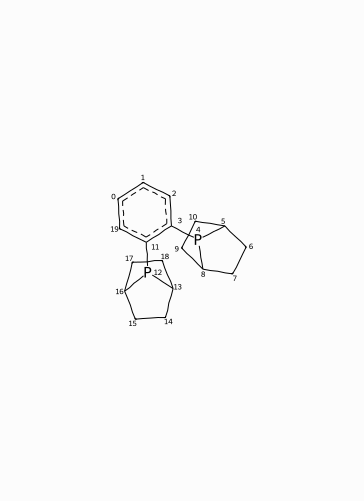 c1ccc(P2C3CCC2CC3)c(P2C3CCC2CC3)c1